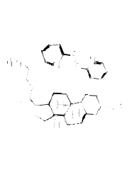 CC(C)CCC[C@@H](C)[C@H]1CC[C@H]2[C@@H]3CC=C4C[C@@H](S)CC[C@]4(C)[C@H]3CC[C@]12C.c1ccc(SSc2ccccn2)nc1